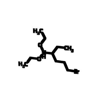 CCO[SiH](OCC)C(CC)CCCBr